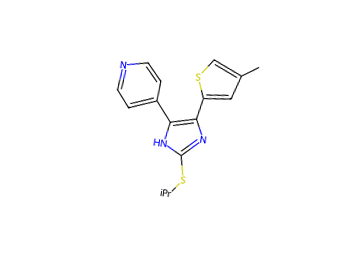 Cc1csc(-c2nc(SC(C)C)[nH]c2-c2ccncc2)c1